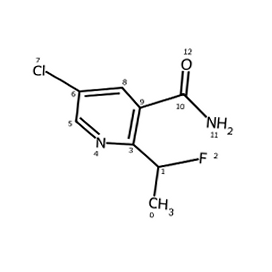 CC(F)c1ncc(Cl)cc1C(N)=O